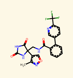 Cc1nocc1C1(CNC(=O)c2ccccc2-c2ccc(C(F)(F)F)nc2)NC(=O)NC1=O